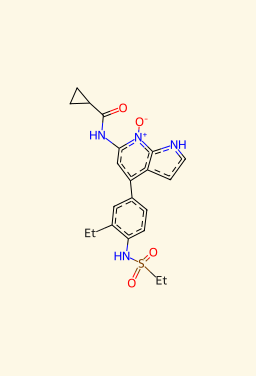 CCc1cc(-c2cc(NC(=O)C3CC3)[n+]([O-])c3[nH]ccc23)ccc1NS(=O)(=O)CC